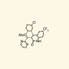 COc1ccc(Cl)cc1-c1c(Sc2ncccn2)c(=O)[nH]c2ccc(C(F)(F)F)cc12